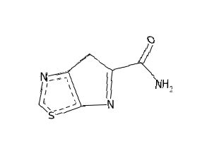 NC(=O)C1=Nc2scnc2C1